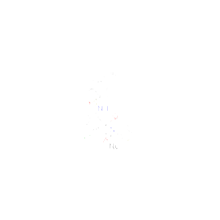 CC(C)(C)c1ccc([S+]([O-])Nc2ccc(Cl)c3c2C(=O)N(c2ccsc2C#N)C3=O)cc1